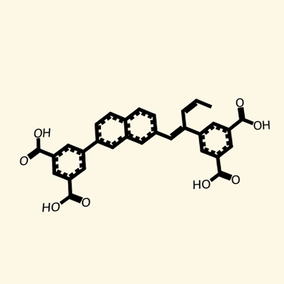 C/C=C\C(=C/c1ccc2ccc(-c3cc(C(=O)O)cc(C(=O)O)c3)cc2c1)c1cc(C(=O)O)cc(C(=O)O)c1